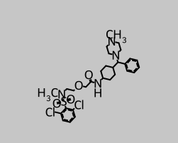 CN1CCN(C(c2ccccc2)C2CCC(NC(=O)COCCN(C)S(=O)(=O)c3c(Cl)cccc3Cl)CC2)CC1